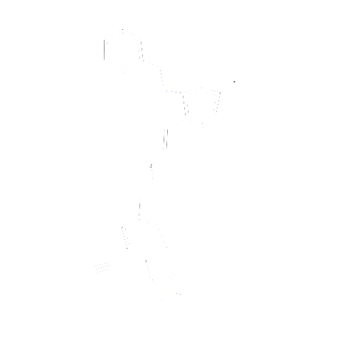 C#Cc1cc(CNC(=O)/C=C/c2ccc(C(F)(F)F)nc2NCc2ccccc2)cc(F)c1NS(C)(=O)=O